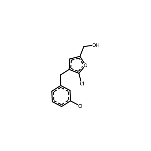 OCc1cc(Cc2cccc(Cl)c2)c(Cl)o1